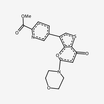 COC(=O)c1ccc(-c2csc3c(=O)cc(N4CCOCC4)oc23)cn1